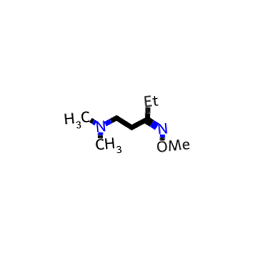 CC/C(CCN(C)C)=N/OC